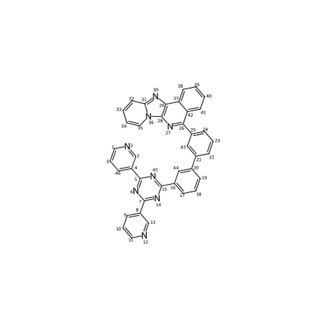 c1cncc(-c2nc(-c3cccnc3)nc(-c3cccc(-c4cccc(-c5nc6c(nc7ccccn76)c6ccccc56)c4)c3)n2)c1